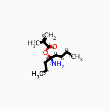 C=C(C)C(=O)OC(N)(CCC)CCCC